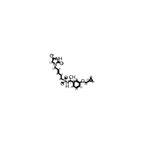 C[C@@H](NS(=O)(=O)CC/C=C/CN1CC(=O)NC1=O)c1cccc(OCC2CC2)c1